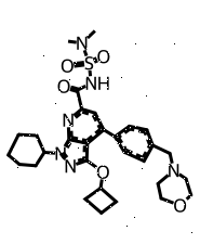 CN(C)S(=O)(=O)NC(=O)c1cc(-c2ccc(CN3CCOCC3)cc2)c2c(OC3CCC3)nn(C3CCCCC3)c2n1